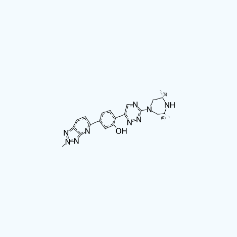 C[C@@H]1CN(c2ncc(-c3ccc(-c4ccc5nn(C)nc5n4)cc3O)nn2)C[C@H](C)N1